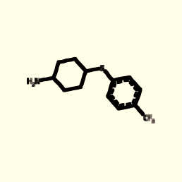 NC1CCC(Sc2ccc(C(F)(F)F)cc2)CC1